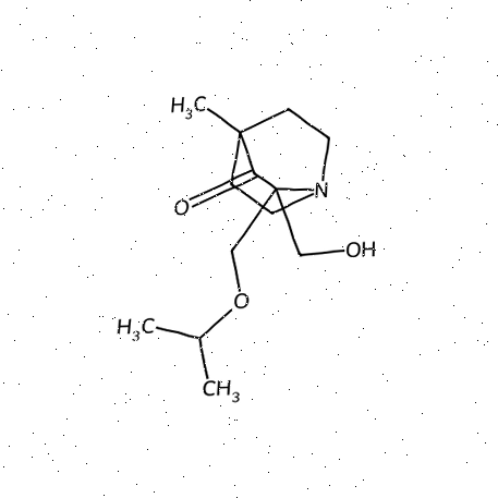 CC(C)OCC1(CO)C(=O)C2(C)CCN1CC2